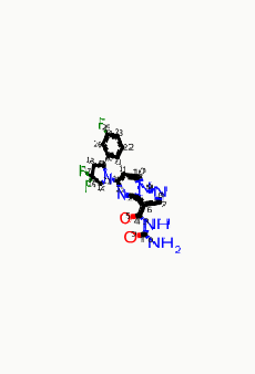 NC(=O)NC(=O)c1cnn2ccc(N3CC(F)(F)C[C@@H]3c3cccc(F)c3)nc12